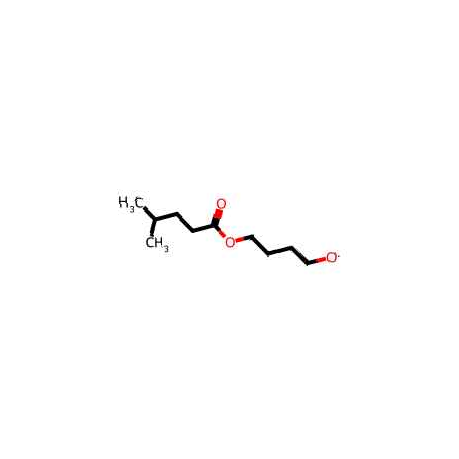 CC(C)CCC(=O)OCCCC[O]